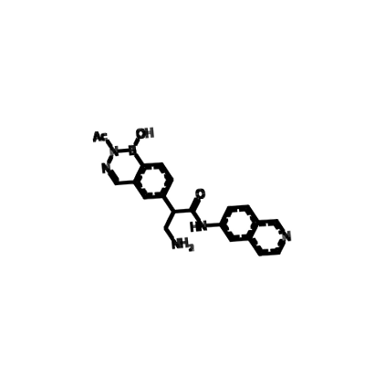 CC(=O)N1N=Cc2cc(C(CN)C(=O)Nc3ccc4cnccc4c3)ccc2B1O